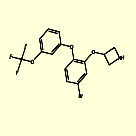 FC(F)(F)Oc1cccc(Oc2ccc(Br)cc2OC2CNC2)c1